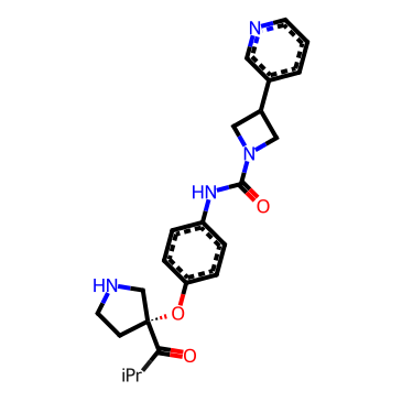 CC(C)C(=O)[C@@]1(Oc2ccc(NC(=O)N3CC(c4cccnc4)C3)cc2)CCNC1